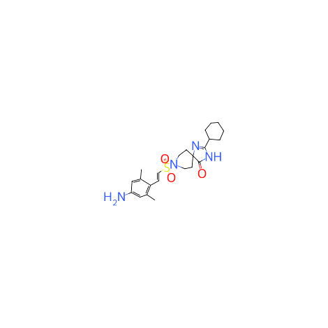 Cc1cc(N)cc(C)c1C=CS(=O)(=O)N1CCC2(CC1)N=C(C1CCCCC1)NC2=O